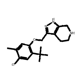 Cc1cc(OCc2n[nH]c3c2CCNC3)c(C(C)(C)C)cc1Cl